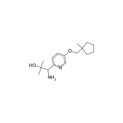 CC1(COc2ccc(C(N)C(C)(C)O)nc2)CCCC1